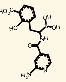 Nc1cc(C(=O)NC(Cc2cccc(C(=O)O)c2O)B(O)O)ccn1